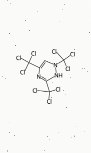 ClC(Cl)(Cl)C1=CN(C(Cl)(Cl)Cl)NC(C(Cl)(Cl)Cl)=N1